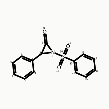 O=C1C(c2ccccc2)N1S(=O)(=O)c1ccccc1